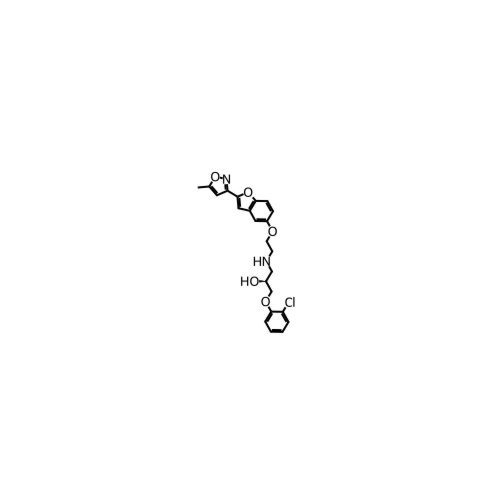 Cc1cc(-c2cc3cc(OCCNC[C@H](O)COc4ccccc4Cl)ccc3o2)no1